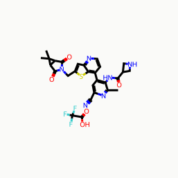 Cc1nc(C#N)cc(-c2ccnc3cc(CN4C(=O)C5C(C4=O)C5(C)C)sc23)c1NC(=O)C1CNC1.O=C(O)C(F)(F)F